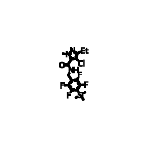 CCc1nn(C)c(C(=O)NCc2c(F)c(F)c([Si](C)(C)C)c(F)c2F)c1Cl